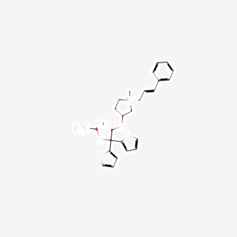 C[N+]1(CC=Cc2ccccc2)CCC(OC(=O)C(OC(=O)C(F)(F)F)(c2cccs2)c2cccs2)C1